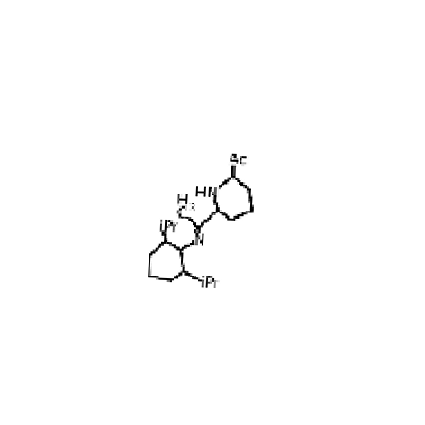 CC(=O)C1CCCC(/C(C)=N/C2C(C(C)C)CCCC2C(C)C)N1